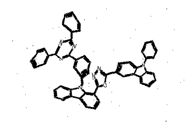 c1ccc(-c2nc(-c3ccccc3)nc(-c3cccc(-n4c5ccccc5c5cccc(-c6nnc(-c7ccc8c(c7)c7ccccc7n8-c7ccccc7)o6)c54)c3)n2)cc1